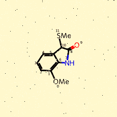 COc1cccc2c1NC(=O)C2SC